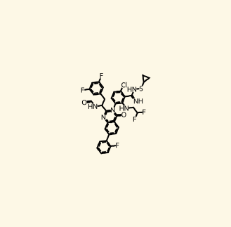 N=C(NSC1CC1)c1c(Cl)ccc(-n2c(C(Cc3cc(F)cc(F)c3)NC=O)nc3cc(-c4ccccc4F)ccc3c2=O)c1NCC(F)F